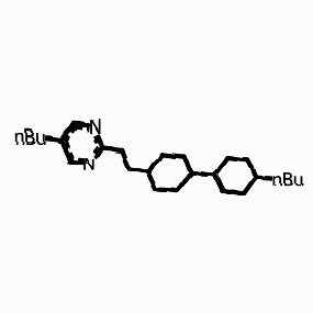 CCCCc1cnc(CCC2CCC(C3CCC(CCCC)CC3)CC2)nc1